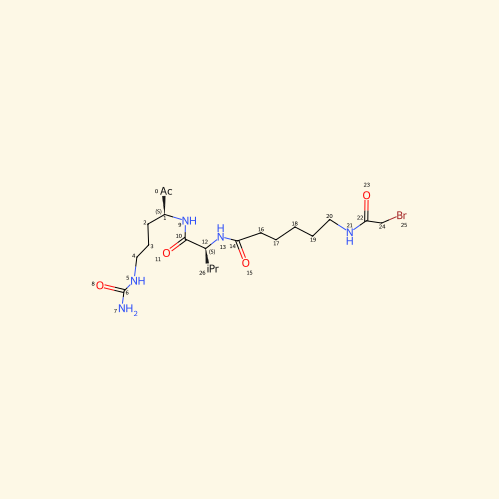 CC(=O)[C@H](CCCNC(N)=O)NC(=O)[C@@H](NC(=O)CCCCCNC(=O)CBr)C(C)C